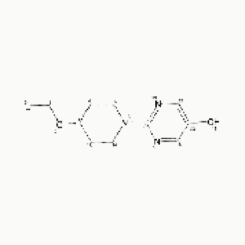 C=COC1CCN(c2ncc(O)cn2)CC1